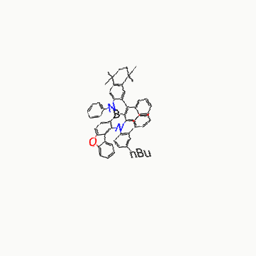 CCCCc1ccc(N2c3cc4ccccc4c4c3B(c3ccc5oc6ccccc6c5c32)N(c2ccccc2)c2cc3c(cc2-4)C(C)(C)CCC3(C)C)c(-c2ccccc2)c1